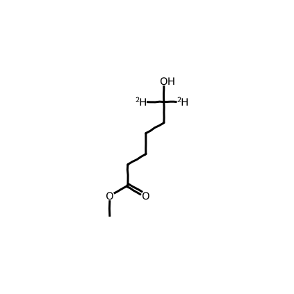 [2H]C([2H])(O)CCCCC(=O)OC